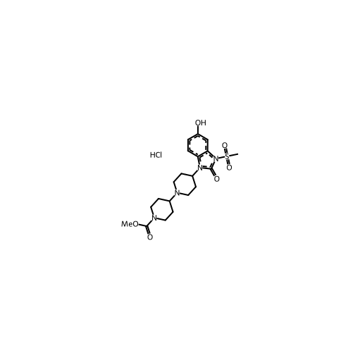 COC(=O)N1CCC(N2CCC(n3c(=O)n(S(C)(=O)=O)c4cc(O)ccc43)CC2)CC1.Cl